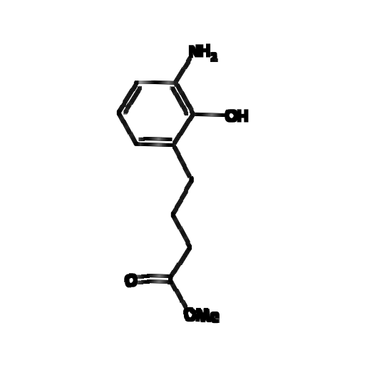 COC(=O)CCCc1cccc(N)c1O